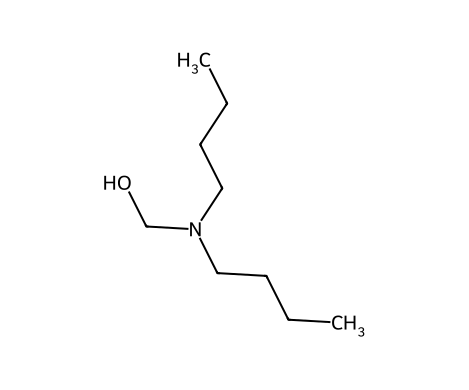 CCCCN(CO)CCCC